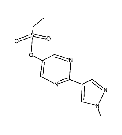 CCS(=O)(=O)Oc1cnc(-c2cnn(C)c2)nc1